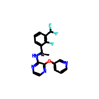 C[C@@H](Nc1nccnc1Oc1cccnc1)c1cccc(C(F)F)c1F